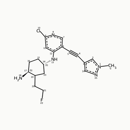 Cn1cc(C#Cc2cnc(Cl)cc2N[C@H]2CC[C@H](N)C(CCF)C2)cn1